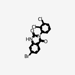 O=c1[nH]c2cc(Br)ccc2c(=O)n1-c1cccc(Cl)c1Cl